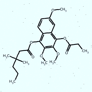 CCCC(C)(C)CC(=O)Oc1c(OC)c(OC)c(OC(=O)CC)c2cc(OC)ccc12